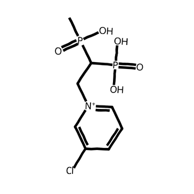 CP(=O)(O)C(C[n+]1cccc(Cl)c1)P(=O)(O)O